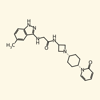 Cc1ccc2[nH]nc(NCC(=O)NC3CN([C@H]4CC[C@@H](n5ccccc5=O)CC4)C3)c2c1